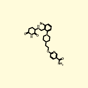 NC(=O)c1ccc(OCCC2CCN(c3cccc(Br)c3CNC3CCC(=O)NC3=O)CC2)nc1